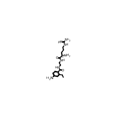 CCc1cc(N)ccc1C(=O)NCCNC(=O)[C@H](N)CCCNC(=N)N